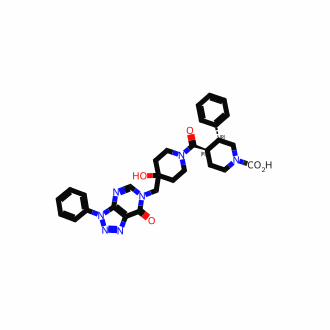 O=C(O)N1CC[C@@H](C(=O)N2CCC(O)(Cn3cnc4c(nnn4-c4ccccc4)c3=O)CC2)[C@H](c2ccccc2)C1